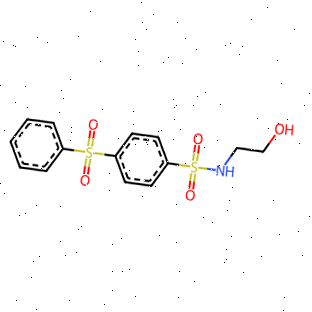 O=S(=O)(NCCO)c1ccc(S(=O)(=O)c2ccccc2)cc1